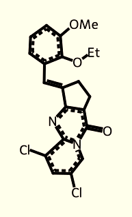 CCOc1c(C=C2CCc3c2nc2c(Cl)cc(Cl)cn2c3=O)cccc1OC